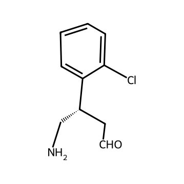 NC[C@@H](CC=O)c1ccccc1Cl